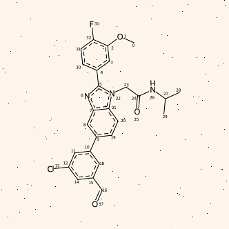 COc1cc(-c2nc3cc(-c4cc(Cl)cc(C=O)c4)ccc3n2CC(=O)NC(C)C)ccc1F